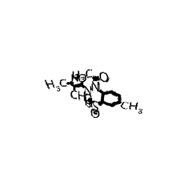 CC(=O)N(Nc1onc(C)c1C)C1C=CC(C)=CC1=S(=O)=O